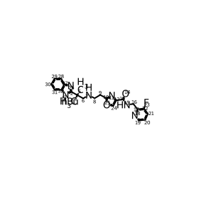 CCCCn1c(C(C)(C)CNCCc2nc(C(=O)NCc3ncccc3F)co2)nc2ccccc21